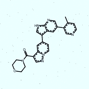 Cc1ccncc1-c1cnc2[nH]cc(-c3ccn4ncc(C(=O)N5CCOCC5)c4c3)c2c1